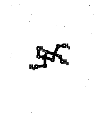 CO[Si]1(OC)O[Si](OC)(OC)O1